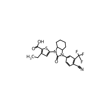 CCc1cc(N2C(=O)N(c3ccc(C#N)c(C(F)(F)F)c3)C3CCCCC32)sc1C(=O)O